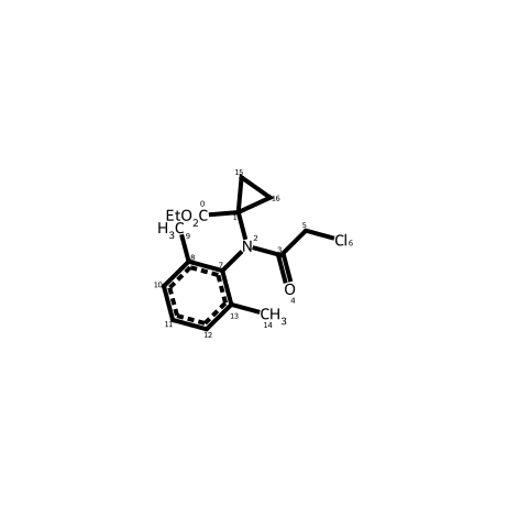 CCOC(=O)C1(N(C(=O)CCl)c2c(C)cccc2C)CC1